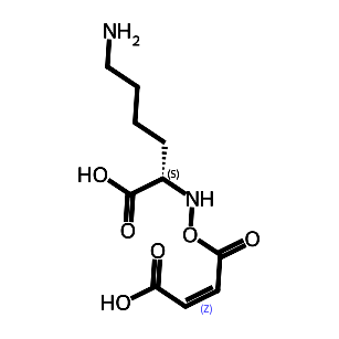 NCCCC[C@H](NOC(=O)/C=C\C(=O)O)C(=O)O